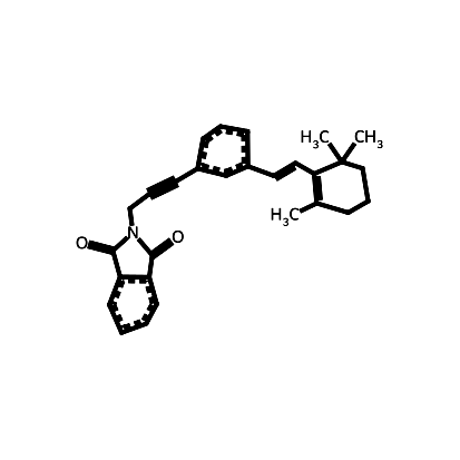 CC1=C(/C=C/c2cccc(C#CCN3C(=O)c4ccccc4C3=O)c2)C(C)(C)CCC1